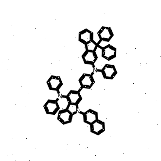 c1ccc(N(c2ccc(-c3cc(N(c4ccccc4)c4ccccc4)c4c5ccccc5n(-c5ccc6ccccc6c5)c4c3)cc2)c2ccc3c(c2)C(c2ccccc2)(c2ccccc2)c2ccccc2-3)cc1